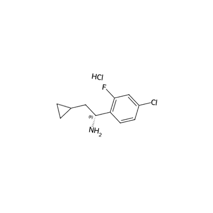 Cl.N[C@H](CC1CC1)c1ccc(Cl)cc1F